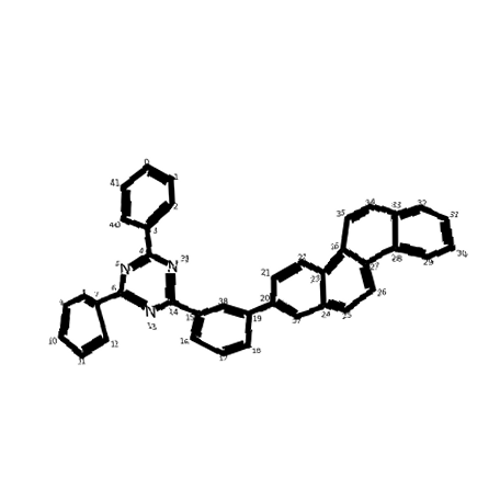 c1ccc(-c2nc(-c3ccccc3)nc(-c3cccc(-c4ccc5c(ccc6c7ccccc7ccc56)c4)c3)n2)cc1